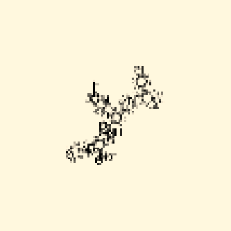 O=C(NS(=O)(=O)c1cc([N+](=O)[O-])c2nn(C3CCOCC3)cc2c1)c1ccc(N2CCN(CC3=C(c4ccc(Cl)cc4)CC4(CCC4)CC3)CC2)cc1Oc1cnc2[nH]ccc2c1